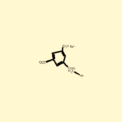 CCCC.O=C([O-])c1cc(C(=O)[O-])cc(S(=O)(=O)O)c1.[Ba+2]